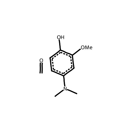 C=O.COc1cc(N(C)C)ccc1O